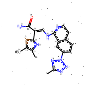 Cc1nnn(-c2ccc3ccnc(NC=C(C(N)=O)c4nc(C)c(C(C)(C)C)s4)c3c2)n1